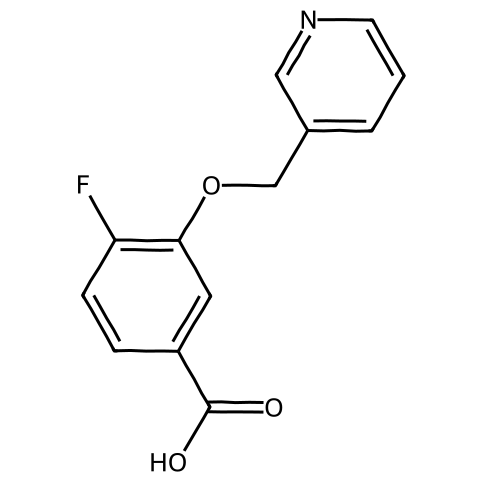 O=C(O)c1ccc(F)c(OCc2cccnc2)c1